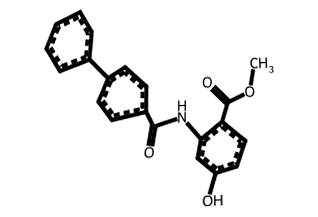 COC(=O)c1ccc(O)cc1NC(=O)c1ccc(-c2ccccc2)cc1